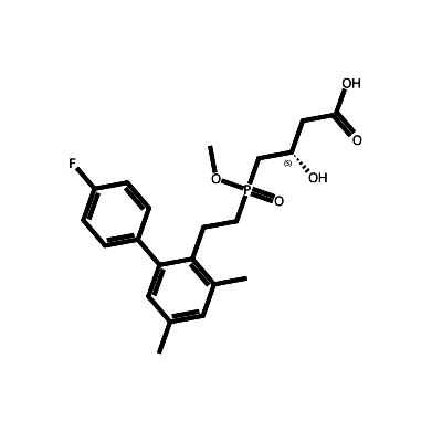 COP(=O)(CCc1c(C)cc(C)cc1-c1ccc(F)cc1)C[C@@H](O)CC(=O)O